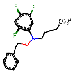 O=C(O)CCCN(OCc1ccccc1)c1cc(F)c(F)cc1F